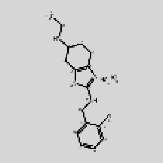 CCNC1CCc2nc(NCc3ccccc3Cl)sc2C1.Cl.Cl